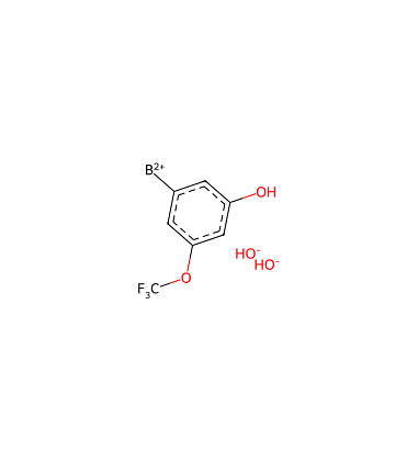 [B+2]c1cc(O)cc(OC(F)(F)F)c1.[OH-].[OH-]